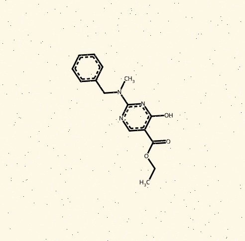 CCOC(=O)c1cnc(N(C)Cc2ccccc2)nc1O